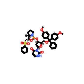 COc1ccc(C(OC[C@H]2O[C@H](n3c(=O)cc[nH]c3=O)C[C@@H]2O[P@@]2O[C@H](CS(=O)(=O)c3ccccc3)[C@@H]3CCCN32)(c2ccccc2)c2ccc(OC)cc2)cc1